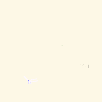 O=C(O)c1ccc2nccc(-c3c(F)cccc3Cl)c2c1